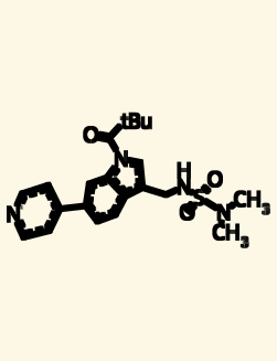 CN(C)S(=O)(=O)NCc1cn(C(=O)C(C)(C)C)c2cc(-c3ccncc3)ccc12